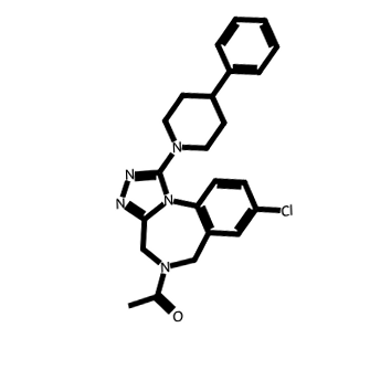 CC(=O)N1Cc2cc(Cl)ccc2-n2c(nnc2N2CCC(c3ccccc3)CC2)C1